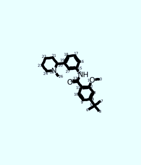 COc1cc(C(C)(C)C)ccc1C(=O)Nc1cccc(C2CCCCN2C)c1